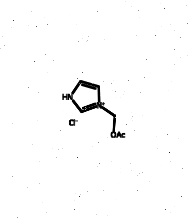 CC(=O)OC[n+]1cc[nH]c1.[Cl-]